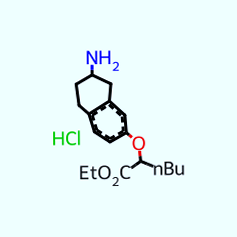 CCCCC(Oc1ccc2c(c1)CC(N)CC2)C(=O)OCC.Cl